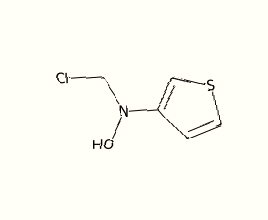 ON(CCl)c1ccsc1